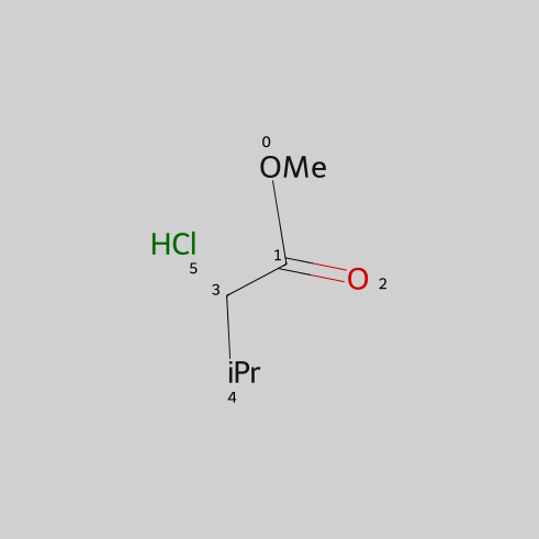 COC(=O)CC(C)C.Cl